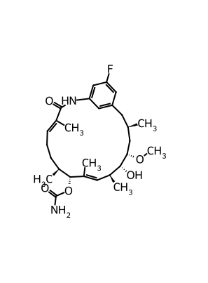 CO[C@H]1C[C@H](C)Cc2cc(F)cc(c2)NC(=O)/C(C)=C/CC[C@H](C)[C@@H](OC(N)=O)/C(C)=C/[C@H](C)[C@H]1O